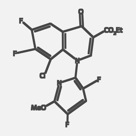 CCOC(=O)c1cn(-c2nc(OC)c(F)cc2F)c2c(Cl)c(F)c(F)cc2c1=O